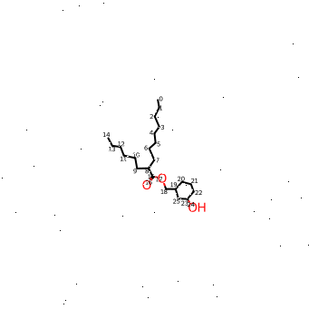 CCCCCCCCC(CCCCCC)C(=O)OCC1CCCC(O)C1